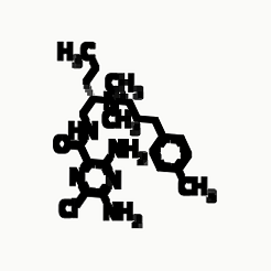 CCC[C@@H](CNC(=O)c1nc(Cl)c(N)nc1N)[N+](C)(C)CCCc1ccc(C)cc1